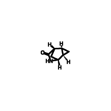 O=C1N[C@@H]2C[C@H]1[C@H]1C[C@H]12